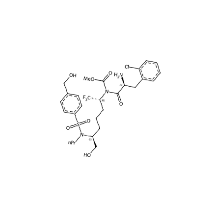 CCCN([C@H](CO)CCC[C@@H](N(C(=O)OC)C(=O)[C@@H](N)Cc1ccccc1Cl)C(F)(F)F)S(=O)(=O)c1ccc(CO)cc1